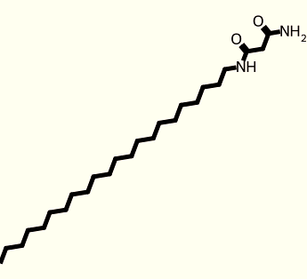 CCCCCCCCCCCCCCCCCCCCCCNC(=O)CC(N)=O